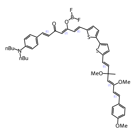 CCCCN(CCCC)c1ccc(/C=C/C(=O)/C=C(/C=C/c2ccc(-c3ccc(/C=C/C(C)(/C=C(/C=C/c4ccc(OC)cc4)OC)OC)s3)s2)OB(F)F)cc1